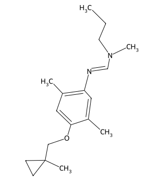 CCCN(C)C=Nc1cc(C)c(OCC2(C)CC2)cc1C